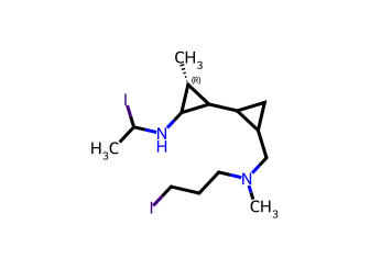 CC(I)NC1C(C2CC2CN(C)CCCI)[C@H]1C